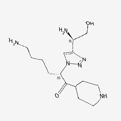 NCCCC[C@@H](C(=O)C1CCNCC1)n1cc([C@@H](N)CO)nn1